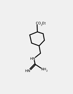 CCOC(=O)C1CCC(CNC(=N)N)CC1